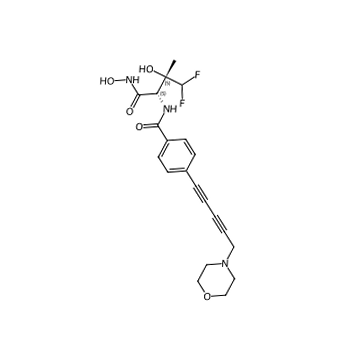 C[C@@](O)(C(F)F)[C@H](NC(=O)c1ccc(C#CC#CCN2CCOCC2)cc1)C(=O)NO